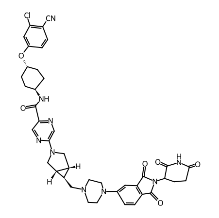 N#Cc1ccc(O[C@H]2CC[C@H](NC(=O)c3cnc(N4C[C@@H]5[C@@H](CN6CCN(c7ccc8c(c7)C(=O)N(C7CCC(=O)NC7=O)C8=O)CC6)[C@@H]5C4)cn3)CC2)cc1Cl